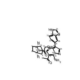 CC(=O)c1c([C@@H]2C[C@H]3CC[C@@H](C2)N3C(=O)CO)nc2c(-c3ccc4[nH]cnc4c3)cnn2c1N